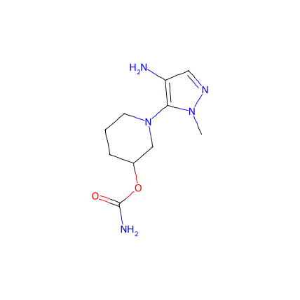 Cn1ncc(N)c1N1CCCC(OC(N)=O)C1